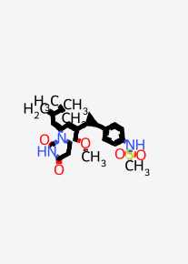 C=C(/C=C(\C=C(/COC)C1CC1c1ccc(NS(C)(=O)=O)cc1)N1CCC(=O)NC1=O)C(C)(C)C